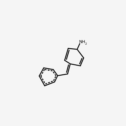 NC1C=CC(=Cc2ccccc2)C=C1